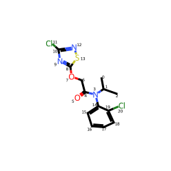 CC(C)N(C(=O)COc1nc(Cl)ns1)c1ccccc1Cl